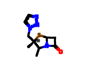 CC1N2C(=O)CC2S[C@@]1(C)Cn1ccnn1